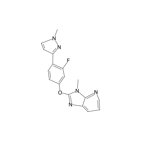 Cn1ccc(-c2ccc(Oc3nc4cccnc4n3C)cc2F)n1